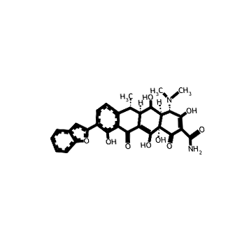 C[C@H]1c2ccc(-c3cc4ccccc4o3)c(O)c2C(=O)C2=C(O)[C@]3(O)C(=O)C(C(N)=O)=C(O)[C@@H](N(C)C)[C@@H]3C(O)[C@@H]21